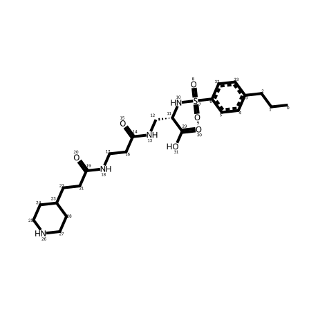 CCCc1ccc(S(=O)(=O)N[C@@H](CNC(=O)CCNC(=O)CCC2CCNCC2)C(=O)O)cc1